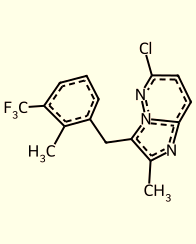 Cc1nc2ccc(Cl)nn2c1Cc1cccc(C(F)(F)F)c1C